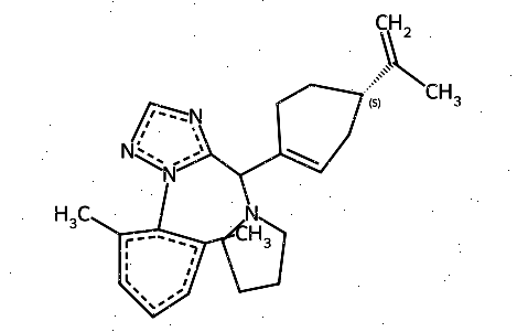 C=C(C)[C@@H]1CC=C(C(c2ncnn2-c2c(C)cccc2C)N2CCCC2)CC1